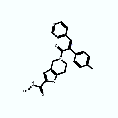 O=C(NO)c1cc2c(s1)CCN(C(=O)/C(=C\c1ccncc1)c1ccc(F)cc1)C2